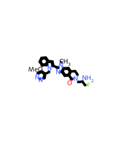 COc1cccc2cc(-c3nc4cc5c(cc4n3C)CCN(C[C@H](N)CF)C5=O)n(Cc3ccnnc3)c12